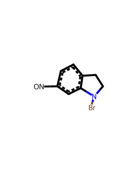 O=Nc1ccc2c(c1)N(Br)CC2